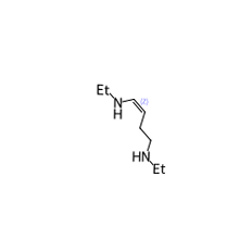 CCN/C=C\CCNCC